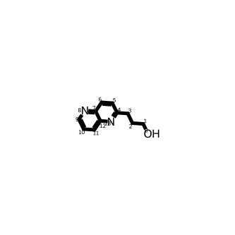 OCCCc1ccc2ncccc2n1